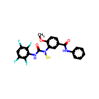 COc1ccc(C(=O)Nc2ccccc2)cc1N(S)C(=O)Nc1c(F)c(F)cc(F)c1F